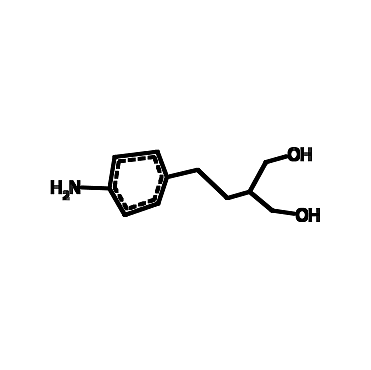 Nc1ccc(CCC(CO)CO)cc1